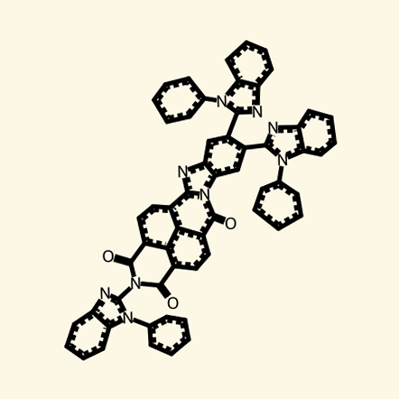 O=C1c2ccc3c(=O)n4c5cc(-c6nc7ccccc7n6-c6ccccc6)c(-c6nc7ccccc7n6-c6ccccc6)cc5nc4c4ccc(c2c34)C(=O)N1c1nc2ccccc2n1-c1ccccc1